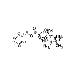 COP(=O)(CC(Cn1cc([Si](C)(C)C)nn1)C(=O)OCc1ccccc1)OC